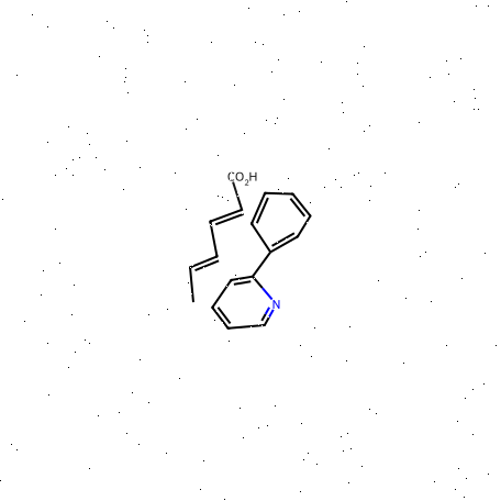 C/C=C/C=C/C(=O)O.c1ccc(-c2ccccn2)cc1